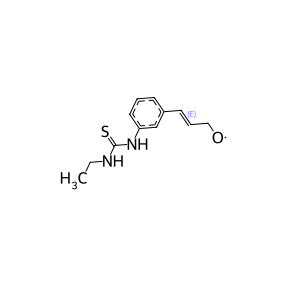 CCNC(=S)Nc1cccc(/C=C/C[O])c1